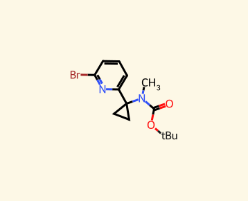 CN(C(=O)OC(C)(C)C)C1(c2cccc(Br)n2)CC1